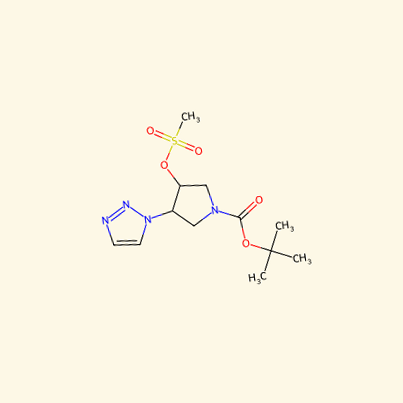 CC(C)(C)OC(=O)N1CC(OS(C)(=O)=O)C(n2ccnn2)C1